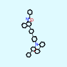 c1ccc(-c2ccc(N(c3ccc(-c4ccc(-c5cc6oc(-c7ccccc7)nc6c6ccccc56)cc4)cc3)c3ccccc3-c3ccccc3)cc2)cc1